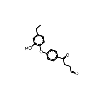 CCc1ccc(Oc2ccc(C(=O)CCC=O)cc2)c(O)c1